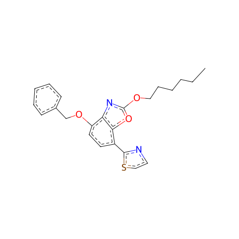 CCCCCCOc1nc2c(OCc3ccccc3)ccc(-c3nccs3)c2o1